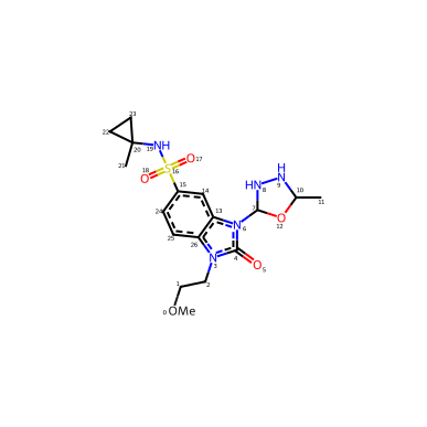 COCCn1c(=O)n(C2NNC(C)O2)c2cc(S(=O)(=O)NC3(C)CC3)ccc21